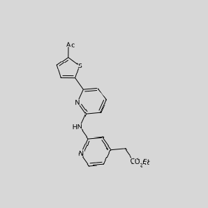 CCOC(=O)Cc1ccnc(Nc2cccc(-c3ccc(C(C)=O)s3)n2)c1